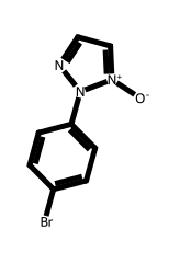 [O-][n+]1ccnn1-c1ccc(Br)cc1